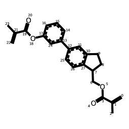 C=C(C)C(=O)OCC1CCc2cc(-c3cccc(OC(=O)C(=C)C)c3)ccc21